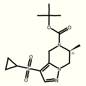 C[C@H]1Cn2ncc(S(=O)(=O)C3CC3)c2CN1C(=O)OC(C)(C)C